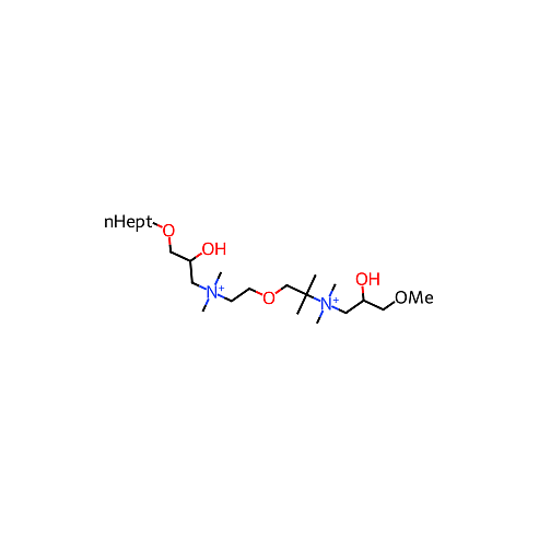 CCCCCCCOCC(O)C[N+](C)(C)CCOCC(C)(C)[N+](C)(C)CC(O)COC